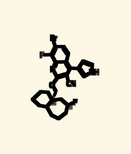 N#Cc1c(OC[C@@]23CCCCC2CCC[C@H](F)C3)nc2c(F)c(Br)ccc2c1-c1cc[nH]c1